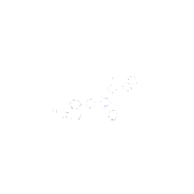 C=Cc1cccc(-c2ccc(-c3nc(-c4ccccc4)nc(-c4ccc5c(c4)-c4ccc6ccccc6c4C54C5CC6CC(C5)CC4C6)n3)cc2)c1/C=C\C